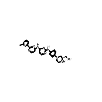 Cc1cccc(-c2nccc(Nc3ccnc(Nc4ccc(N5CCN[C@H](CO)C5)cc4)n3)n2)n1